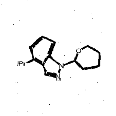 CC(C)c1cccc2c1cnn2C1CCCCO1